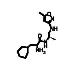 Cc1cc(NC[C@H](C)NC(=O)[C@@H](N)CC2CCCCC2)no1